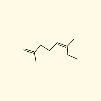 [CH]=C(C)CCC=C(C)CC